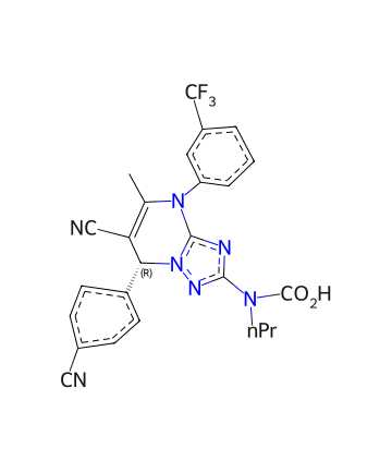 CCCN(C(=O)O)c1nc2n(n1)[C@H](c1ccc(C#N)cc1)C(C#N)=C(C)N2c1cccc(C(F)(F)F)c1